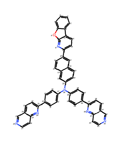 c1ccc2c(c1)oc1nc(-c3ccc4cc(N(c5ccc(-c6ccc7cnccc7n6)cc5)c5ccc(-c6ccc7cnccc7n6)cc5)ccc4c3)ccc12